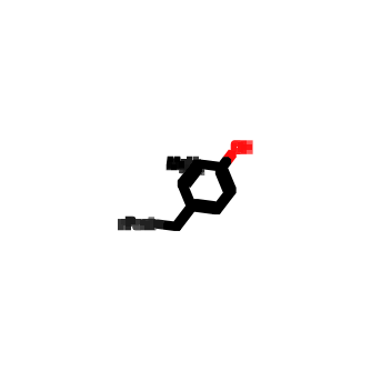 CCCCCCc1ccc(O)cc1.[MgH2]